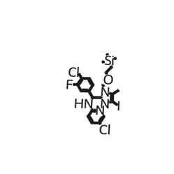 Cc1c(I)nc(C(Nc2ccc(Cl)cn2)c2ccc(Cl)c(F)c2)n1COCC[Si](C)(C)C